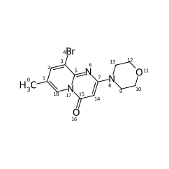 Cc1cc(Br)c2nc(N3CCOCC3)cc(=O)n2c1